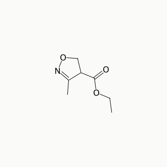 CCOC(=O)C1CON=C1C